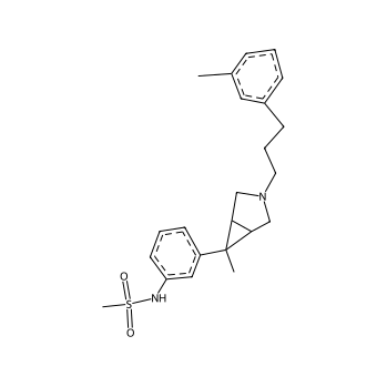 Cc1cccc(CCCN2CC3C(C2)C3(C)c2cccc(NS(C)(=O)=O)c2)c1